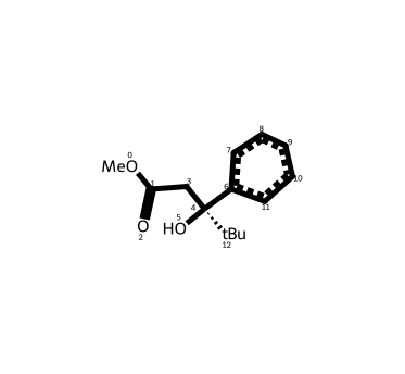 COC(=O)C[C@](O)(c1ccccc1)C(C)(C)C